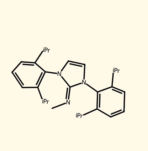 CN=c1n(-c2c(C(C)C)cccc2C(C)C)ccn1-c1c(C(C)C)cccc1C(C)C